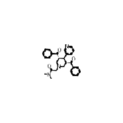 CN(C)C(=O)CN1C[C@H](C(=O)c2ccccc2)C(c2cccnc2)[C@@H](C(=O)c2ccccc2)C1